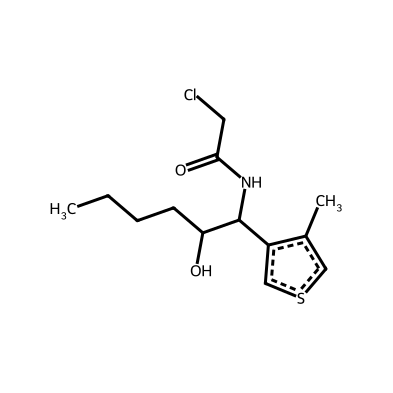 CCCCC(O)C(NC(=O)CCl)c1cscc1C